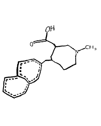 CN1CCC(c2ccc3ccccc3c2)C(C(=O)O)C1